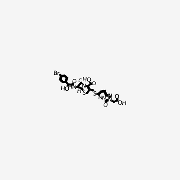 O=C(O)Cn1nc2ccc(SCC3=C(C(=O)O)N4C(=O)C(NC(=O)C(O)c5ccc(Br)cc5)[C@@H]4SC3)nn2c1=O